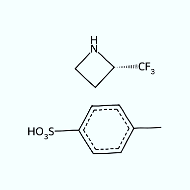 Cc1ccc(S(=O)(=O)O)cc1.FC(F)(F)[C@@H]1CCN1